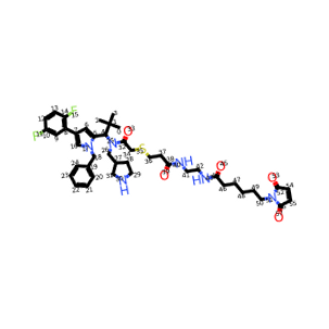 CC(C)(C)C(c1cc(-c2cc(F)ccc2F)cn1Cc1ccccc1)N(CC1CCNC1)C(=O)CSCCC(=O)NCCNC(=O)CCCCCN1C(=O)C=CC1=O